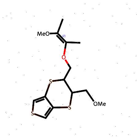 COCC1Sc2cscc2SC1CO/C(C)=C(/C)OC